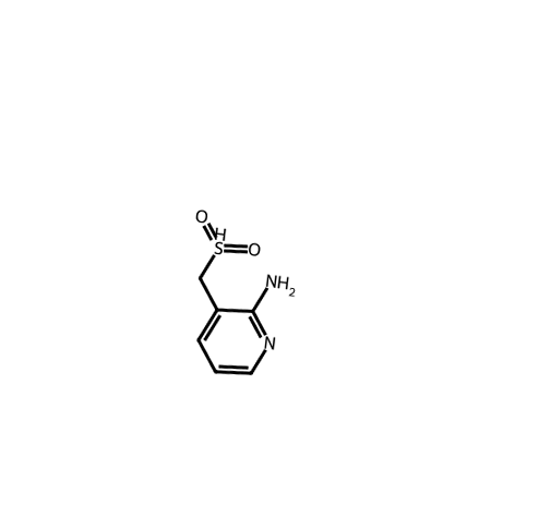 Nc1ncccc1C[SH](=O)=O